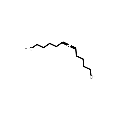 CCCCCC=C=CCCCCC